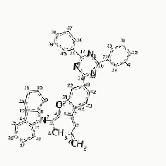 C=C/C=c1\c(=C(/C)n2c3ccccc3c3ccccc32)oc2cc(-c3nc(-c4ccccc4)nc(-c4ccccc4)n3)ccc12